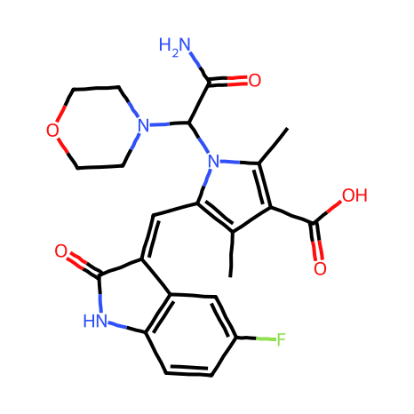 Cc1c(C(=O)O)c(C)n(C(C(N)=O)N2CCOCC2)c1C=C1C(=O)Nc2ccc(F)cc21